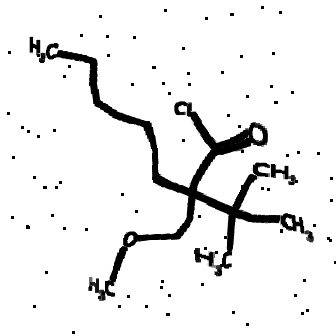 CCCCCC(COC)(C(=O)Cl)C(C)(C)C